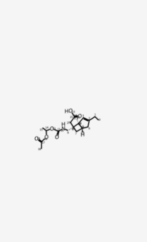 CCC1=C[C@H]2[C@H](C1)C[C@@]2(CNC(=O)OC(C)OC(C)=O)CC(=O)O